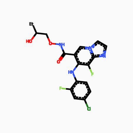 CCC(O)CONC(=O)c1cn2ccnc2c(F)c1Nc1ccc(Cl)cc1F